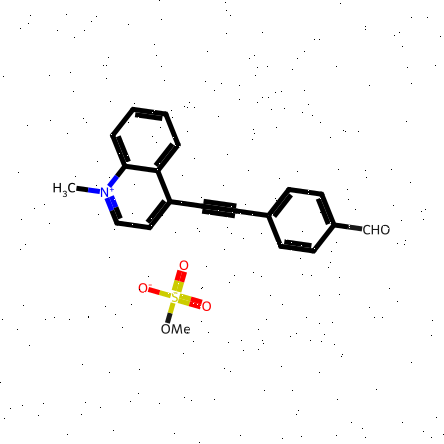 COS(=O)(=O)[O-].C[n+]1ccc(C#Cc2ccc(C=O)cc2)c2ccccc21